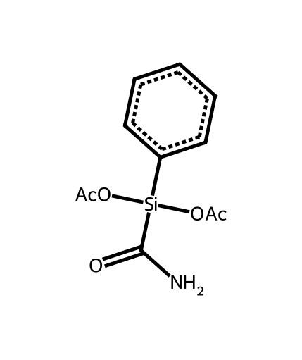 CC(=O)O[Si](OC(C)=O)(C(N)=O)c1ccccc1